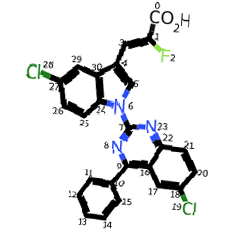 O=C(O)C(F)=Cc1cn(-c2nc(-c3ccccc3)c3cc(Cl)ccc3n2)c2ccc(Cl)cc12